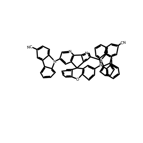 N#Cc1ccc2c(c1)c1ccccc1n2-c1cnc2c(c1)C1(c3ccccc3Oc3ccc(N4c5ccccc5Sc5ccccc54)cc31)c1cc(-n3c4ccccc4c4cc(C#N)ccc43)cnc1-2